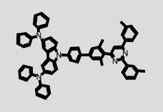 Cc1cccc(-c2cc(-c3c(C)cc(-c4ccc(-n5c6ccc(N(c7ccccc7)c7ccccc7)cc6c6cc(N(c7ccccc7)c7ccccc7)ccc65)cc4)cc3C)nc(-c3cccc(C)c3)n2)c1